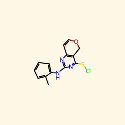 Cc1ccccc1Nc1nc2c(c(SCl)n1)COC=C2